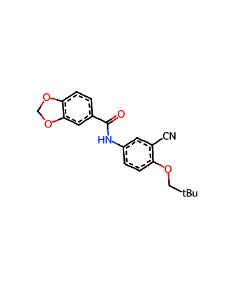 CC(C)(C)COc1ccc(NC(=O)c2ccc3c(c2)OCO3)cc1C#N